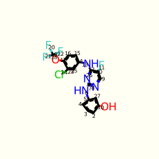 Oc1cccc(Nc2ncc(F)c(Nc3ccc(OC(F)(F)F)c(Cl)c3)n2)c1